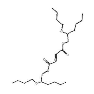 CCCCOC(CCCC)COC(=O)C=CC(=O)OCC(CCCC)OCCCC